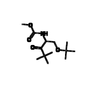 COC(=O)NC(COC(C)(C)C)C(=O)C(C)(C)C